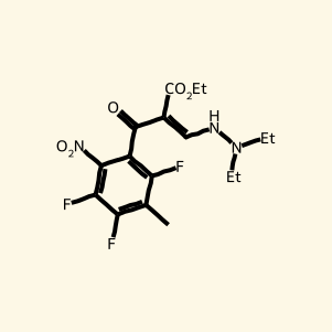 CCOC(=O)C(=CNN(CC)CC)C(=O)c1c(F)c(C)c(F)c(F)c1[N+](=O)[O-]